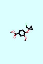 COC(=O)c1ccc(OC2(CF)CC2)c(OC)c1